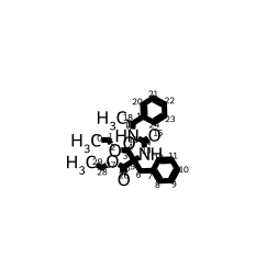 CCOC(=O)C(Cc1ccccc1)(NC(=O)N[C@H](C)c1ccccc1)C(=O)OCC